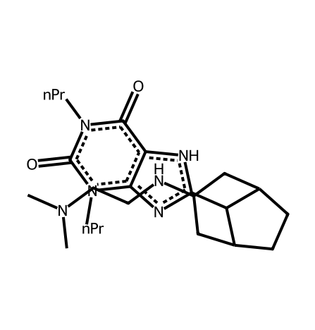 CCCn1c(=O)c2[nH]c(C3C4CCC3CC(NCCN(C)C)C4)nc2n(CCC)c1=O